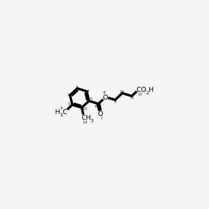 Cc1cccc(C(=O)OCCCC(=O)O)c1C